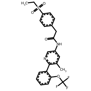 CCS(=O)(=O)c1ccc(CC(=O)Nc2cnc(-c3ccccc3OC(F)(F)F)c(C)c2)cc1